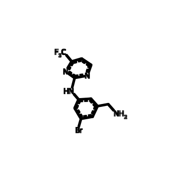 NCc1cc(Br)cc(Nc2nccc(C(F)(F)F)n2)c1